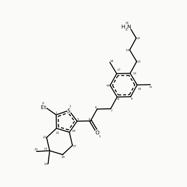 CCc1sc(C(=O)CCc2cc(C)c(CCCN)c(C)c2)c2c1CC(C)(C)CC2